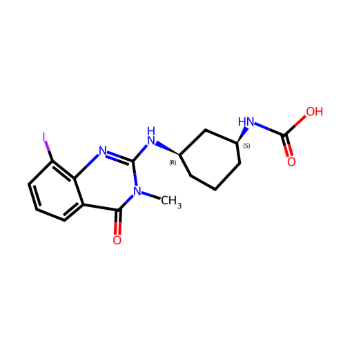 Cn1c(N[C@@H]2CCC[C@H](NC(=O)O)C2)nc2c(I)cccc2c1=O